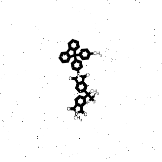 Cc1ccc(C2(c3ccc(N4C(=O)c5ccc(C(C)(c6ccc7c(c6)C(=O)N(C)C7=O)C(F)(F)F)cc5C4=O)cc3)c3ccccc3-c3ccccc32)cc1